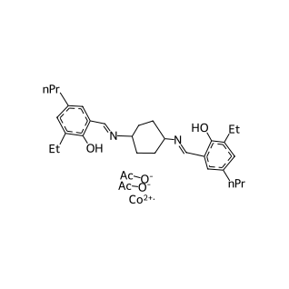 CC(=O)[O-].CC(=O)[O-].CCCc1cc(C=NC2CCC(N=Cc3cc(CCC)cc(CC)c3O)CC2)c(O)c(CC)c1.[Co+2]